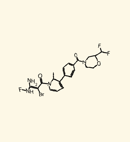 CC1C(c2ccc(C(=O)N3CCOC(C(F)F)C3)cc2)=CC=CN1C(=O)/C(Br)=C(\N)NF